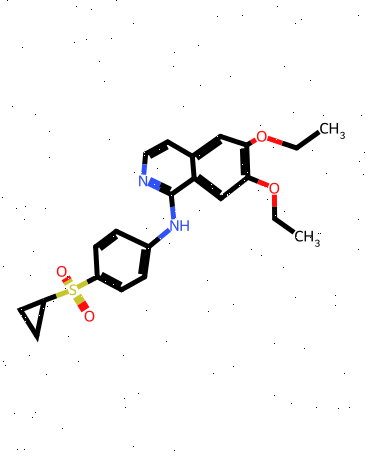 CCOc1cc2ccnc(Nc3ccc(S(=O)(=O)C4CC4)cc3)c2cc1OCC